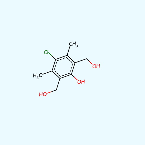 Cc1c(Cl)c(C)c(CO)c(O)c1CO